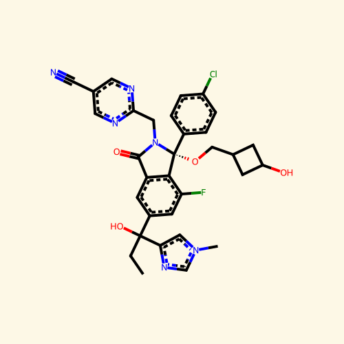 CCC(O)(c1cc(F)c2c(c1)C(=O)N(Cc1ncc(C#N)cn1)[C@@]2(OCC1CC(O)C1)c1ccc(Cl)cc1)c1cn(C)cn1